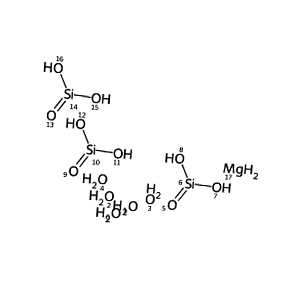 O.O.O.O.O.O=[Si](O)O.O=[Si](O)O.O=[Si](O)O.[MgH2]